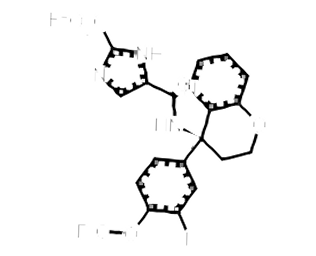 CCOC(=O)c1ncc(C(=O)N[C@]2(c3ccc(OC(F)(F)F)c(F)c3)CCOc3cccnc32)[nH]1